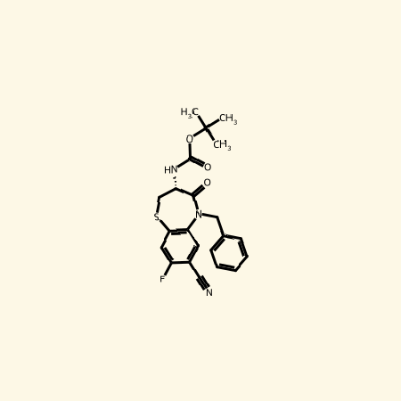 CC(C)(C)OC(=O)N[C@H]1CSc2cc(F)c(C#N)cc2N(Cc2ccccc2)C1=O